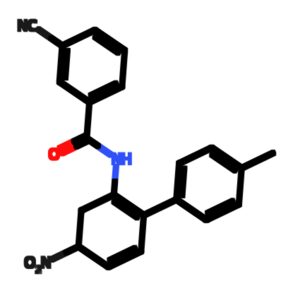 Cc1ccc(C2=C(NC(=O)c3cccc(C#N)c3)CC([N+](=O)[O-])C=C2)cc1